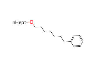 [CH2]CCCCCCOCCCCCCCc1ccccc1